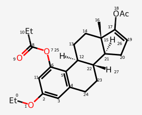 CCOc1cc2c(c(OC(=O)CC)c1)[C@H]1CC[C@]3(C)C(OC(C)=O)=CC[C@H]3[C@@H]1CC2